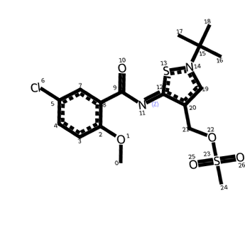 COc1ccc(Cl)cc1C(=O)/N=c1\sn(C(C)(C)C)cc1COS(C)(=O)=O